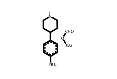 CC(C)(C)OC=O.Nc1ccc(C2CCNCC2)cc1